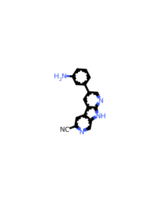 N#Cc1cc2c(cn1)[nH]c1ncc(-c3cccc(N)c3)cc12